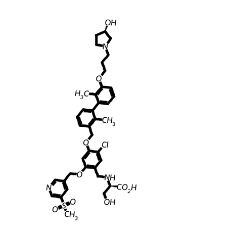 Cc1c(COc2cc(OCc3cncc(S(C)(=O)=O)c3)c(CN[C@H](CO)C(=O)O)cc2Cl)cccc1-c1cccc(OCCCN2CC[C@@H](O)C2)c1C